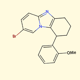 COc1ccccc1C1CCCc2nc3ccc(Br)cn3c21